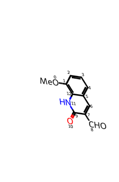 COc1cccc2cc(C=O)c(=O)[nH]c12